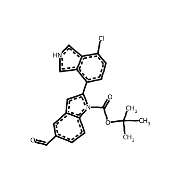 CC(C)(C)OC(=O)n1c(-c2ccc(Cl)c3c[nH]cc23)cc2cc(C=O)ccc21